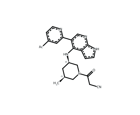 CC(=O)c1ccnc(-c2cnc3[nH]ccc3c2N[C@@H]2C[C@H](C)CN(C(=O)CC#N)C2)c1